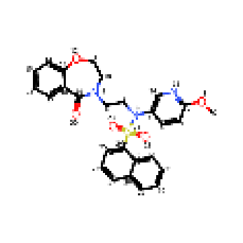 COc1ccc(N(CCN2CCOc3ccccc3C2=O)S(=O)(=O)c2cccc3ccccc23)cn1